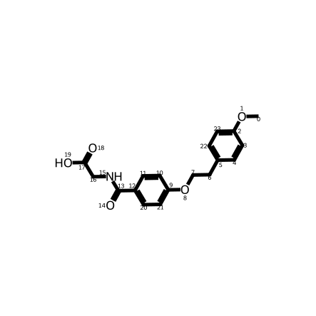 COc1ccc(CCOc2ccc(C(=O)NCC(=O)O)cc2)cc1